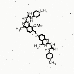 COc1c(COc2ccc3nc(NC(=N)NC4CCN(C)CC4)nc(C)c3c2)ccc2c(C)nc(NC(=N)NC3CCN(C)CC3)nc12